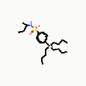 CCC[CH2][Sn]([CH2]CCC)([CH2]CCC)[c]1ccc(S(=O)(=O)NC(C)CC)cc1